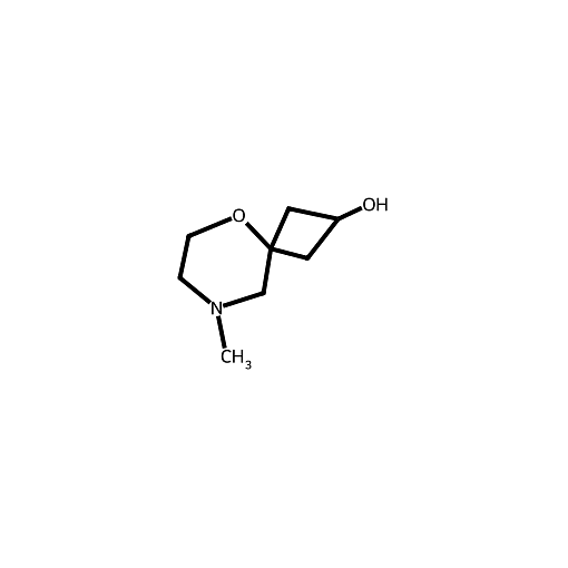 CN1CCOC2(CC(O)C2)C1